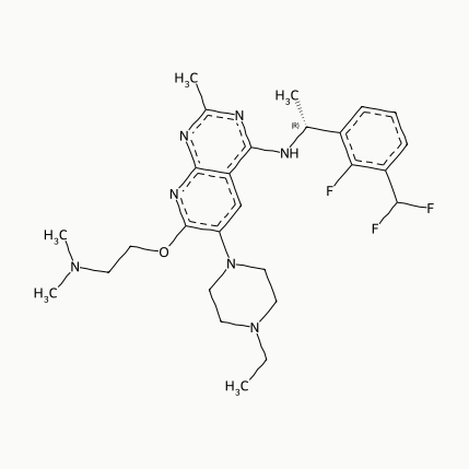 CCN1CCN(c2cc3c(N[C@H](C)c4cccc(C(F)F)c4F)nc(C)nc3nc2OCCN(C)C)CC1